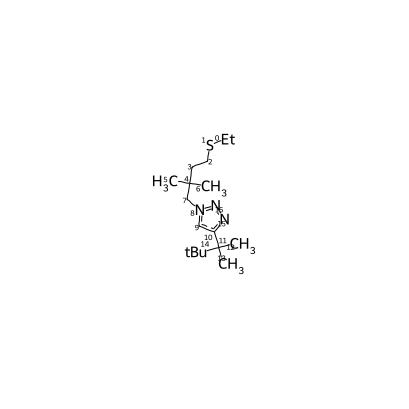 CCSCCC(C)(C)Cn1cc(C(C)(C)C(C)(C)C)nn1